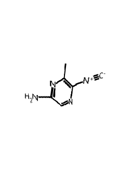 [C-]#[N+]c1ncc(N)nc1C